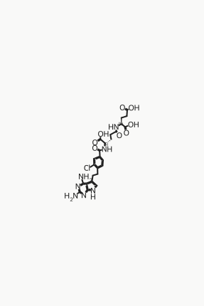 Nc1nc(N)c2c(CCc3ccc(C(=O)N[C@@H](CCC(=O)N[C@@H](CCC(=O)O)C(=O)O)C(=O)O)cc3Cl)c[nH]c2n1